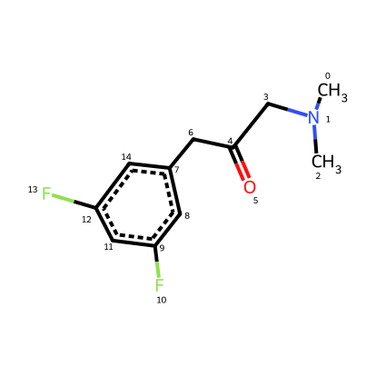 CN(C)CC(=O)Cc1cc(F)cc(F)c1